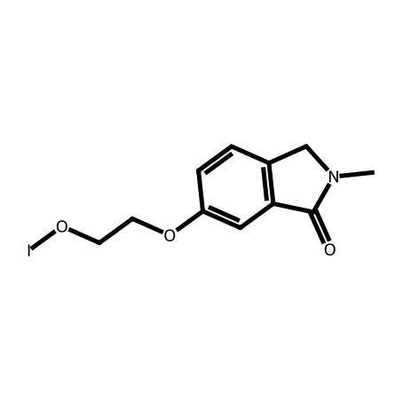 CN1Cc2ccc(OCCOI)cc2C1=O